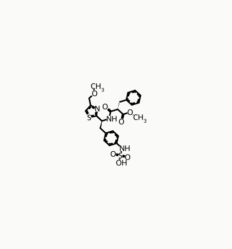 COCc1csc([C@H](Cc2ccc(NS(=O)(=O)O)cc2)NC(=O)[C@H](Cc2ccccc2)C(=O)OC)n1